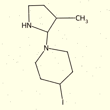 CC1CCNC1N1CCC(I)CC1